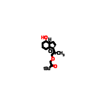 C[C@H](COCC(=O)C(C)(C)C)[C@H]1CC[C@H]2[C@@H](O)CCC[C@]12C